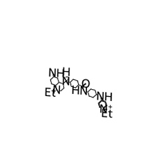 CCN1CCC(NC2CCC(C(=O)NC3CCC(Nc4cc[n+](CC)cc4)CC3)CC2)C2CC(N)CCC21